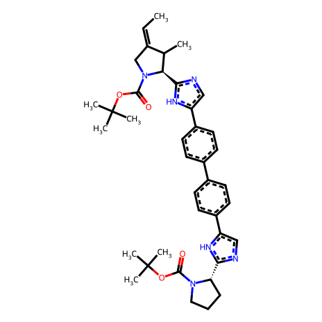 CC=C1CN(C(=O)OC(C)(C)C)[C@H](c2ncc(-c3ccc(-c4ccc(-c5cnc([C@@H]6CCCN6C(=O)OC(C)(C)C)[nH]5)cc4)cc3)[nH]2)C1C